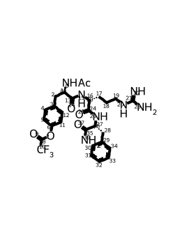 CC(=O)N[C@H](Cc1ccc(OC(=O)C(F)(F)F)cc1)C(=O)N[C@H](CCCNC(=N)N)C(=O)N[C@H](Cc1ccccc1)C(N)=O